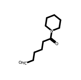 O=CCCCCC(=O)N1CCCCC1